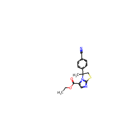 CCOC(=O)c1cnc2n1C(C)(c1ccc(C#N)cc1)CS2